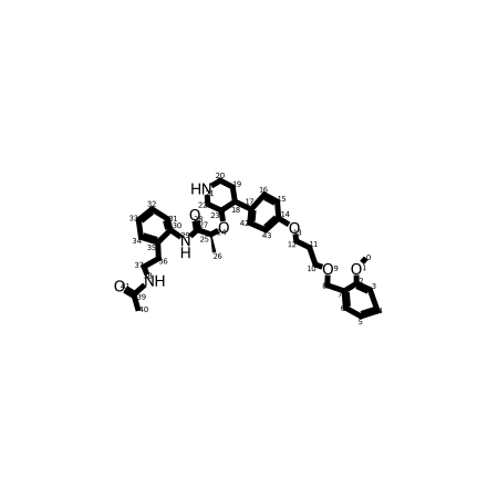 COc1ccccc1COCCCOc1ccc(C2CCNCC2O[C@@H](C)C(=O)Nc2ccccc2CCNC(C)=O)cc1